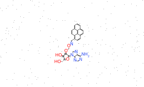 Nc1ncnc2c1ncn2[C@@H]1O[C@H](CO)[C@@H](O)[C@H]1OCON=Cc1ccc2ccc3cccc4ccc1c2c34